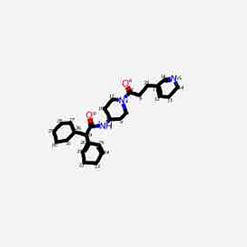 O=C(NC1CCN(C(=O)CCC2=CCCN=C2)CC1)C(C1=CCCC=C1)C1CCCCC1